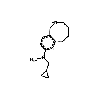 CN(CC1CC1)c1ccc2c(n1)CCCCNC2